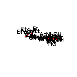 CCN(CC)c1ccc2c(c1)Oc1cc(N(CC)CC)ccc1C21c2ccccc2C(=O)N1Cc1cn(CCn2cc(CN(Cc3cn(C4OC(CO)C(O)C(O)C4NC(C)=O)nn3)Cc3cn(C4OC(CO)C(O)C(O)C4NC(C)=O)nn3)nn2)nn1